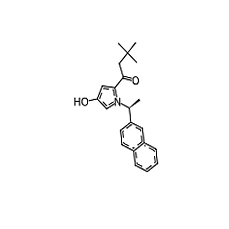 C[C@@H](c1ccc2ccccc2c1)n1cc(O)cc1C(=O)CC(C)(C)C